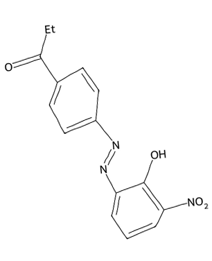 CCC(=O)c1ccc(N=Nc2cccc([N+](=O)[O-])c2O)cc1